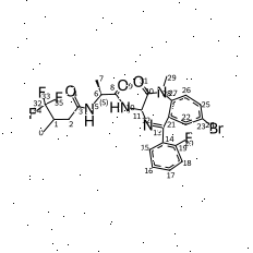 CC(CC(=O)N[C@@H](C)C(=O)NC1N=C(c2ccccc2F)c2cc(Br)ccc2N(C)C1=O)C(F)(F)F